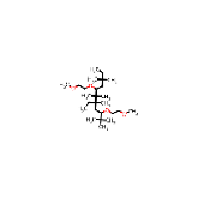 CCC(C)(C)CC(OCCOC)C(C)(C)C(C)(CC)CC(OCCOC)C(C)(C)C